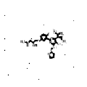 CNC[C@@H](O)COc1ccc(Cl)c(-c2nc(NC[C@@H]3CCCO3)c(C)c(-c3c(C)noc3C)n2)c1